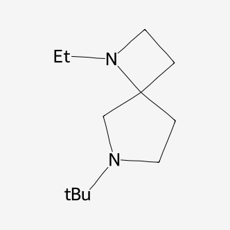 CCN1CCC12CCN(C(C)(C)C)C2